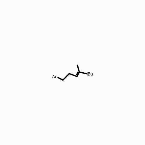 CCC(C)C(C)=CCCC(C)=O